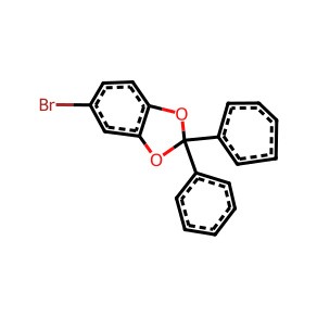 Brc1ccc2c(c1)OC(c1ccccc1)(c1ccccc1)O2